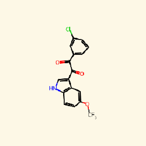 O=C(C(=O)c1c[nH]c2ccc(OC(F)(F)F)cc12)c1cccc(Cl)c1